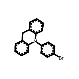 Brc1ccc(N2c3ccccc3Cc3ccccc32)cc1